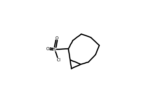 O=S(=O)(Cl)C1CCCCCCC2CC21